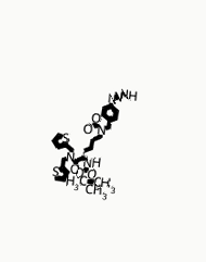 CC(C)(C)OC(=O)N[C@@H](CCCCN(Cc1ccc(N=[N+]=N)cc1)C(=O)[O-])C(=O)N(Cc1cccs1)Cc1cccs1